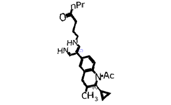 CCCC(=O)CCCN/C=C(\C=N)c1ccc2c(c1)CC(C)[C@H](C1CC1)N2C(C)=O